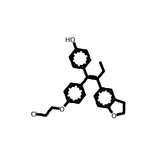 CCC(=C(c1ccc(O)cc1)c1ccc(OCCCl)cc1)c1ccc2c(c1)CCO2